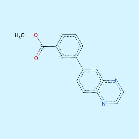 COC(=O)c1cccc(-c2ccc3nccnc3c2)c1